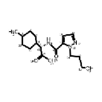 CC1CCC([C@H](NC(=O)c2ccnn2CCCO)C(=O)O)CC1